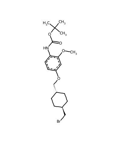 COc1cc(OC[C@H]2CC[C@H](CBr)CC2)ccc1NC(=O)OC(C)(C)C